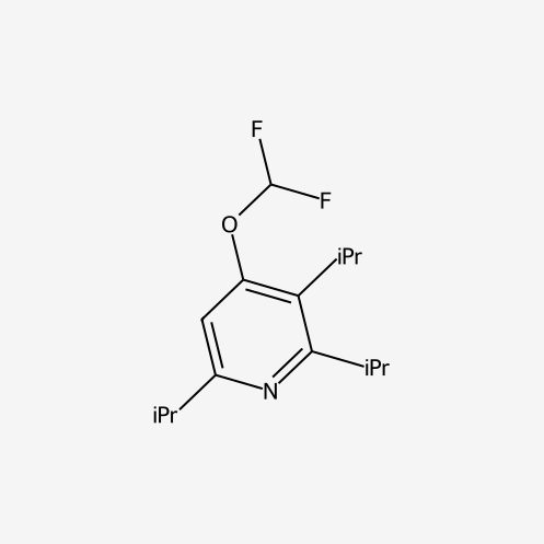 CC(C)c1cc(OC(F)F)c(C(C)C)c(C(C)C)n1